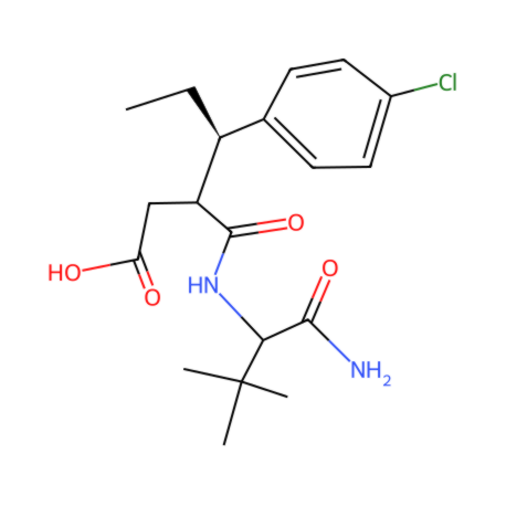 CC[C@@H](c1ccc(Cl)cc1)C(CC(=O)O)C(=O)NC(C(N)=O)C(C)(C)C